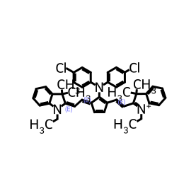 CCN1/C(=C/C=C2\C=CC(/C=C/C3=[N+](CC)c4ccccc4C3(C)C)=C2N(c2ccc(Cl)cc2)c2ccc(Cl)cc2)C(C)(C)c2ccccc21